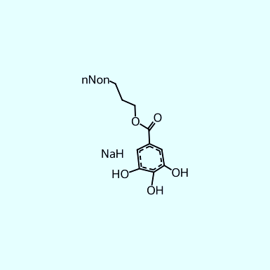 CCCCCCCCCCCCOC(=O)c1cc(O)c(O)c(O)c1.[NaH]